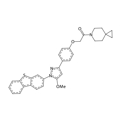 COc1cc(-c2ccc(OCC(=O)N3CCC4(CC3)CC4)cc2)nn1-c1ccc2c(c1)sc1ccccc12